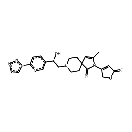 CC1=CC2(CCN(C[C@H](O)c3ccc(-n4cnnn4)nc3)CC2)C(=O)N1C1=CC(=O)OC1